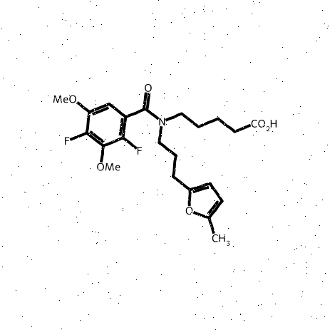 COc1cc(C(=O)N(CCCCC(=O)O)CCCc2ccc(C)o2)c(F)c(OC)c1F